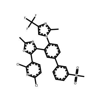 Cc1nc(-c2cc(-c3cccc(S(C)(=O)=O)c3)ccc2-n2cc(C(F)(F)F)nc2C)c(-c2ccc(Cl)nc2Cl)o1